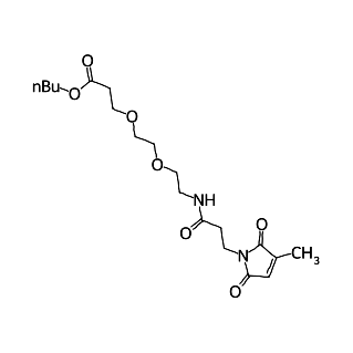 CCCCOC(=O)CCOCCOCCNC(=O)CCN1C(=O)C=C(C)C1=O